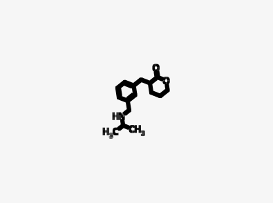 CC(C)NCc1cccc(CC2CCCOC2=O)c1